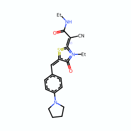 CCNC(=O)/C(C#N)=c1\sc(=Cc2ccc(N3CCCC3)cc2)c(=O)n1CC